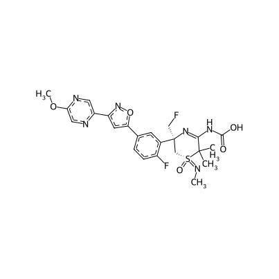 CN=[S@]1(=O)C[C@@](CF)(c2cc(-c3cc(-c4cnc(OC)cn4)no3)ccc2F)N=C(NC(=O)O)C1(C)C